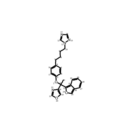 CC(Oc1ccc(CCCCn2cncn2)cc1)(c1cocn1)c1occ2ccccc12